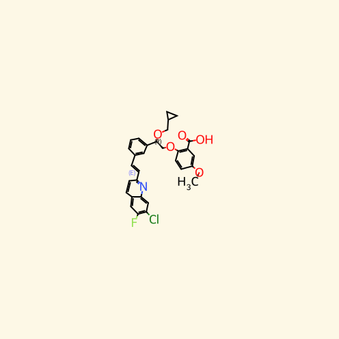 COc1ccc(OC[C@H](OCC2CC2)c2cccc(/C=C/c3ccc4cc(F)c(Cl)cc4n3)c2)c(C(=O)O)c1